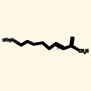 C=C(/C=C/CCCCCCCCCCCC)C(=O)O